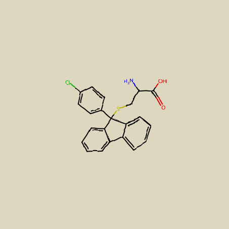 NC(CSC1(c2ccc(Cl)cc2)c2ccccc2-c2ccccc21)C(=O)O